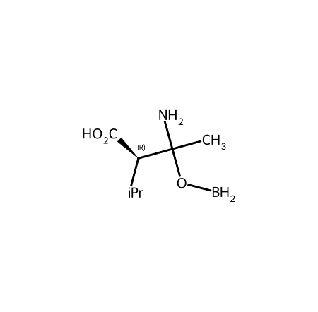 BOC(C)(N)[C@H](C(=O)O)C(C)C